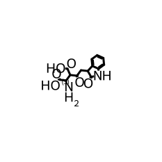 N[C@H](C(=O)O)C(C(=O)O)C(=O)CC1C(=O)Nc2ccccc21